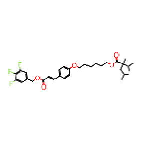 CC(C)CC(C)(C(=O)OCCCCCCOc1ccc(/C=C/C(=O)OCc2cc(F)c(F)c(F)c2)cc1)C(C)C